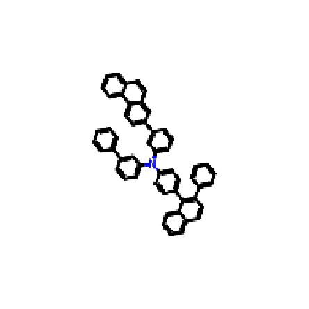 c1ccc(-c2cccc(N(c3ccc(-c4c(-c5ccccc5)ccc5ccccc45)cc3)c3cccc(-c4ccc5c(ccc6ccccc65)c4)c3)c2)cc1